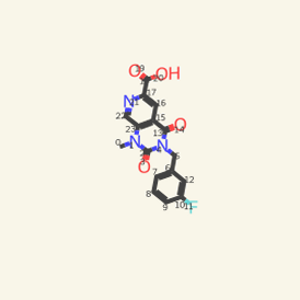 Cn1c(=O)n(Cc2cccc(F)c2)c(=O)c2cc(C(=O)O)ncc21